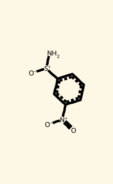 N[S+]([O-])c1cccc([N+](=O)[O-])c1